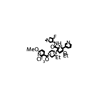 CCOc1cc(N2CCN(C(=O)c3ccc(OC)nc3C(F)(F)F)C[C@H]2CC)c(C(=O)N[C@H]2CN(C)C[C@H]2F)nc1-c1cccnc1